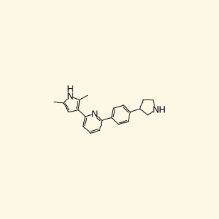 Cc1cc(-c2cccc(-c3ccc(C4CCNC4)cc3)n2)c(C)[nH]1